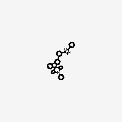 c1ccc(-c2nnc(-c3cccc(-c4ccc5c(c4)-c4ccccc4C54c5ccccc5N(c5ccccc5)c5ccccc54)c3)o2)cc1